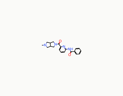 CN1CC2CN(C(=O)c3cccc(NC(=O)c4ccccc4)n3)CC2C1